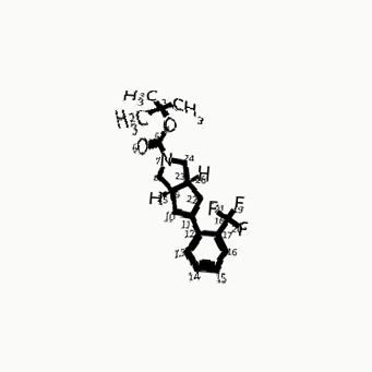 CC(C)(C)OC(=O)N1C[C@H]2CC(c3ccccc3C(F)(F)F)C[C@H]2C1